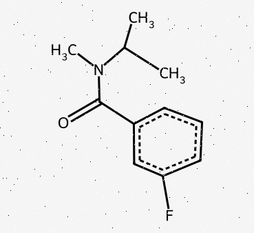 CC(C)N(C)C(=O)c1cccc(F)c1